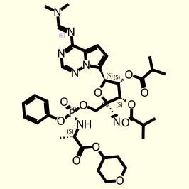 CC(C)C(=O)O[C@H]1[C@H](c2ccc3c(/N=C/N(C)C)ncnn23)O[C@](C#N)(CO[P@](=O)(N[C@@H](C)C(=O)OC2CCOCC2)Oc2ccccc2)[C@H]1OC(=O)C(C)C